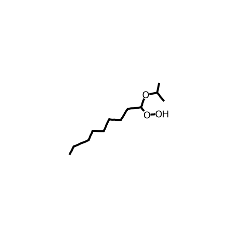 CCCCCCCCC(OO)OC(C)C